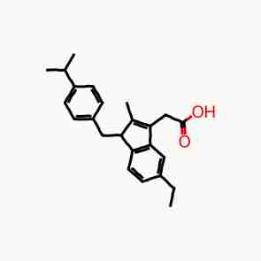 CCc1ccc2c(c1)C(CC(=O)O)=C(C)C2Cc1ccc(C(C)C)cc1